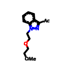 COCCOCCn1nc(C(C)=O)c2ccccc21